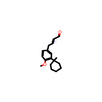 COc1ccc(C/C=C/C=O)cc1C1(C)CCCCC1